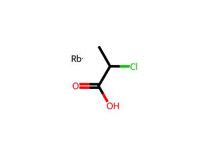 CC(Cl)C(=O)O.[Rb]